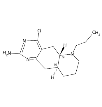 CCCN1CCC[C@H]2Cc3nc(N)nc(Cl)c3C[C@@H]21